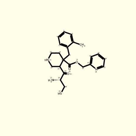 Cc1ccccc1CC1(C(=O)OCc2ccccn2)CCNCC1C(=O)[C@@H](N)CS